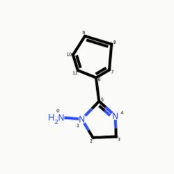 NN1CCN=C1c1ccccc1